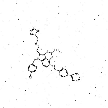 CC1Cc2c(OCc3ccc(-c4ccccc4)cn3)ccc3c2c(c(CCOCc2nnn[nH]2)n3Cc2ccc(Cl)cc2)S1